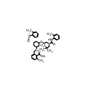 Cc1ccccc1N=C=O.Cc1ccccc1NC(=O)N(CCOC1CCCC(OCc2cccc(C)c2C(=O)O)C1)CC(C)(C)C